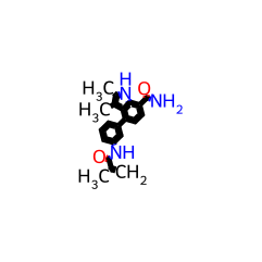 C=C(C)C(=O)Nc1cccc(-c2ccc(C(N)=O)c3[nH]c(C)c(C)c23)c1